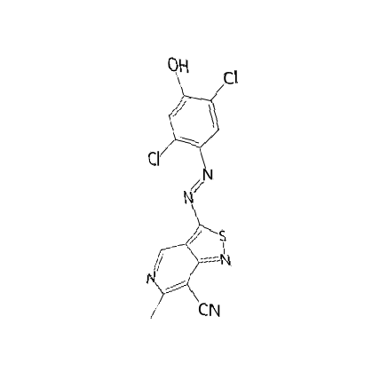 Cc1ncc2c(/N=N/c3cc(Cl)c(O)cc3Cl)snc2c1C#N